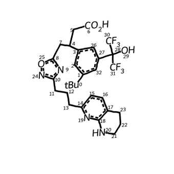 CC(C)(C)c1cc(C(CC(=O)O)Cc2nc(CCCc3ccc4c(n3)NCCC4)no2)cc(C(O)(C(F)(F)F)C(F)(F)F)c1